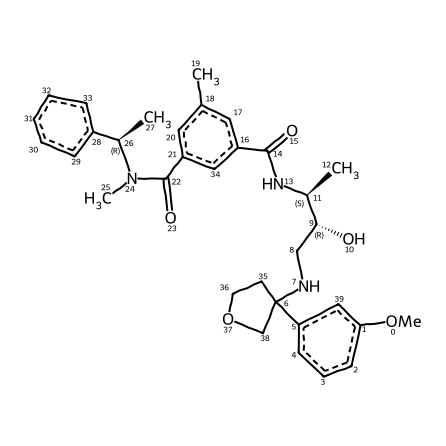 COc1cccc(C2(NC[C@@H](O)[C@H](C)NC(=O)c3cc(C)cc(C(=O)N(C)[C@H](C)c4ccccc4)c3)CCOC2)c1